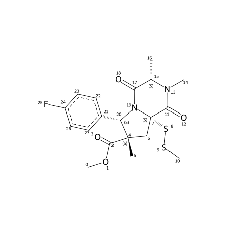 COC(=O)[C@@]1(C)C[C@]2(SSC)C(=O)N(C)[C@@H](C)C(=O)N2[C@H]1c1ccc(F)cc1